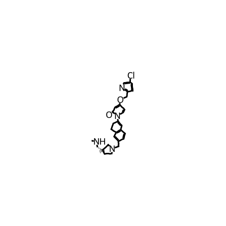 CNC[C@H]1CCN(Cc2ccc3c(c2)CCC(n2ccc(OCc4ccc(Cl)cn4)cc2=O)=C3)C1